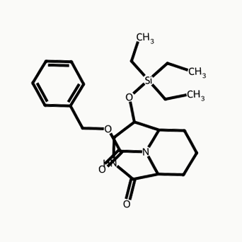 CC[Si](CC)(CC)OC1CNC(=O)C2CCCC1N2C(=O)OCc1ccccc1